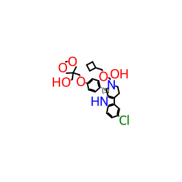 OCC1(COc2ccc([C@H]3c4[nH]c5ccc(Cl)cc5c4CCN3C(O)OCC3CCC3)cc2)COCOC1